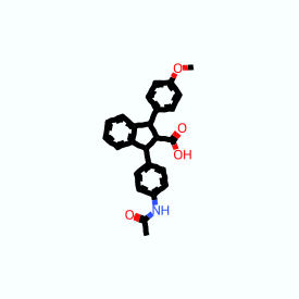 COc1ccc(C2c3ccccc3C(c3ccc(NC(C)=O)cc3)C2C(=O)O)cc1